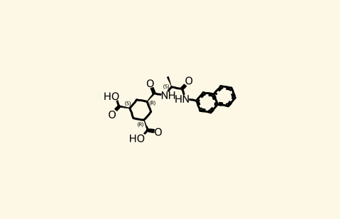 C[C@H](NC(=O)[C@@H]1C[C@H](C(=O)O)C[C@H](C(=O)O)C1)C(=O)Nc1ccc2ccccc2c1